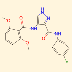 COc1cccc(OC)c1C(=O)Nc1c[nH]nc1C(=O)Nc1ccc(F)cc1